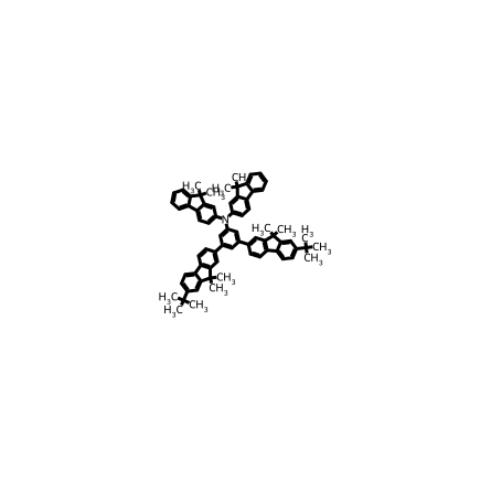 CC(C)(C)c1ccc2c(c1)C(C)(C)c1cc(-c3cc(-c4ccc5c(c4)C(C)(C)c4cc(C(C)(C)C)ccc4-5)cc(N(c4ccc5c(c4)C(C)(C)c4ccccc4-5)c4ccc5c(c4)C(C)(C)c4ccccc4-5)c3)ccc1-2